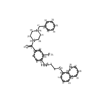 O=C(c1ccc(NCCSc2cccc3cccnc23)c(F)c1)N1CCN(Cc2ccccc2)CC1